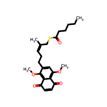 CCCCCC(=O)SCC(C)=CCCc1cc(OC)c2c(c1OC)C(=O)C=CC2=O